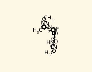 COc1ccc(NC(=O)OCC2Cc3c(c(F)cc4nc(-c5cc(C)cc6nc(OC)cnc56)sc34)O2)cn1